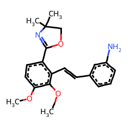 COc1ccc(C2=NC(C)(C)CO2)c(C=Cc2cccc(N)c2)c1OC